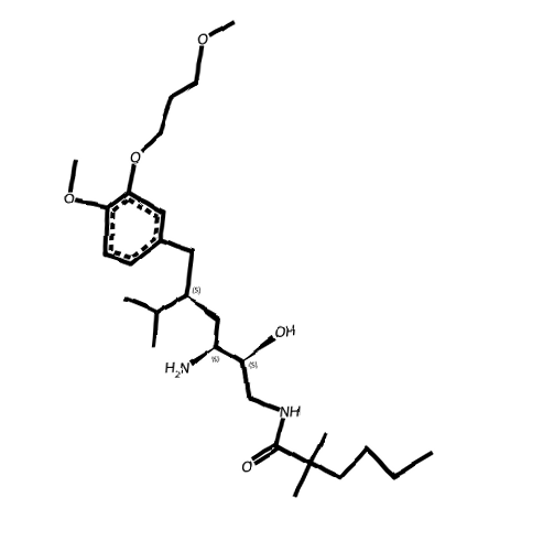 CCCCC(C)(C)C(=O)NC[C@H](O)[C@@H](N)C[C@H](Cc1ccc(OC)c(OCCCOC)c1)C(C)C